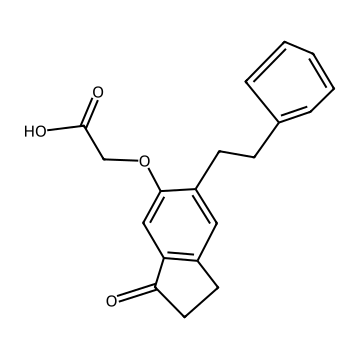 O=C(O)COc1cc2c(cc1CCc1ccccc1)CCC2=O